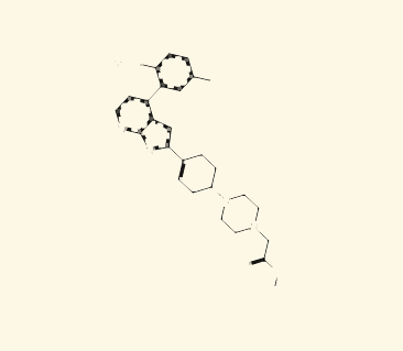 COc1ccc(F)cc1-c1ccnc2[nH]c(C3=CC[C@H](N4CCN(CC(=O)OC(C)(C)C)CC4)CC3)cc12